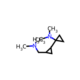 CN(C)CC1C[C]1C1(N(C)C)CC1